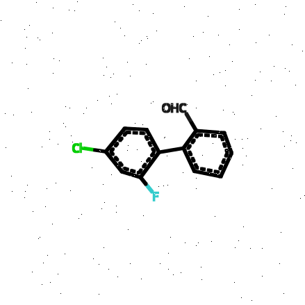 O=Cc1ccccc1-c1ccc(Cl)cc1F